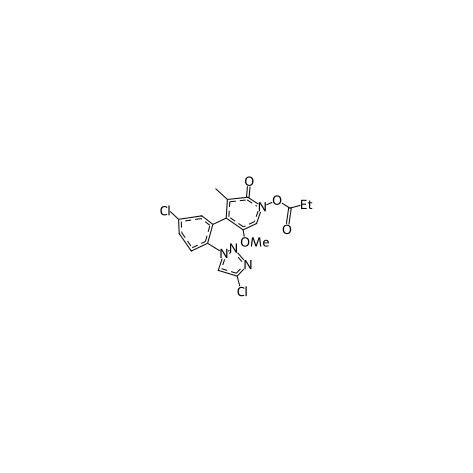 CCC(=O)On1cc(OC)c(-c2cc(Cl)ccc2-n2cc(Cl)nn2)c(C)c1=O